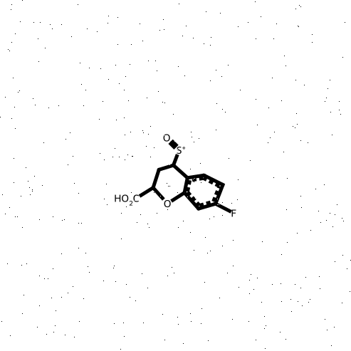 O=[S+]C1CC(C(=O)O)Oc2cc(F)ccc21